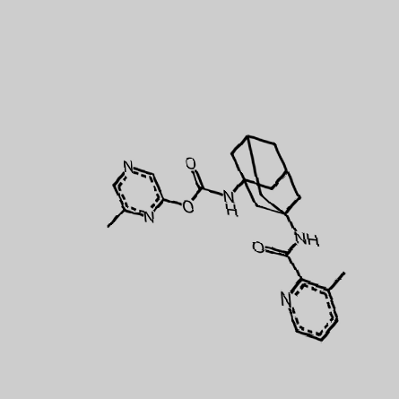 Cc1cncc(OC(=O)NC23CC4CC(C2)CC(NC(=O)c2ncccc2C)(C4)C3)n1